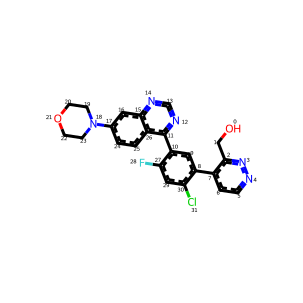 OCc1nnccc1-c1cc(-c2ncnc3cc(N4CCOCC4)ccc23)c(F)cc1Cl